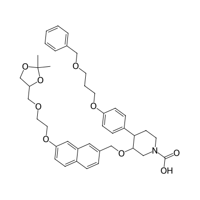 CC1(C)OCC(COCCOc2ccc3ccc(COC4CN(C(=O)O)CCC4c4ccc(OCCCOCc5ccccc5)cc4)cc3c2)O1